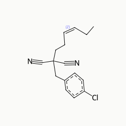 CC/C=C\CCC(C#N)(C#N)Cc1ccc(Cl)cc1